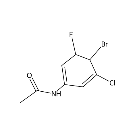 CC(=O)NC1=CC(F)C(Br)C(Cl)=C1